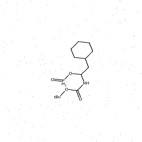 CC(C)(C)OC(=O)NC(CC1CCCCC1)O[PH2]=O